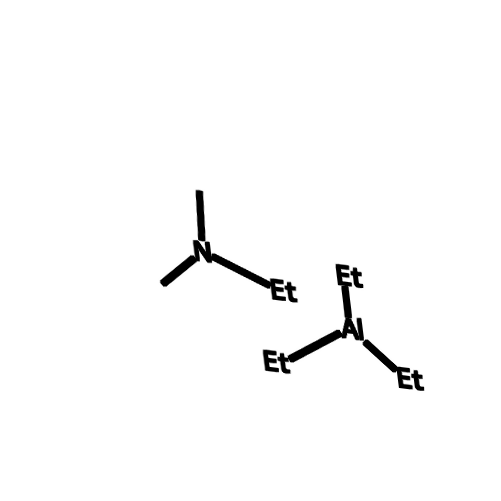 CCN(C)C.C[CH2][Al]([CH2]C)[CH2]C